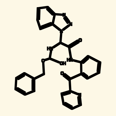 O=C(c1ccccn1)c1ccccc1NC(=O)C(NC(O)OCc1ccccc1)n1nnc2ccccc21